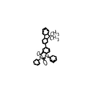 CC1(C)c2ccccc2-c2ccc(-c3ccc4c(c3)c(=O)n(-c3ccccc3)c(=O)n4-c3ccccc3)cc21